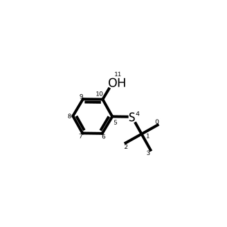 CC(C)(C)Sc1ccccc1O